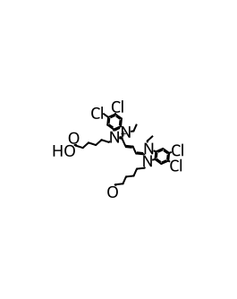 CCN1C(=CC=Cc2n(CC)c3cc(Cl)c(Cl)cc3[n+]2CCCCCC(=O)O)N(CCCCCC=O)c2cc(Cl)c(Cl)cc21